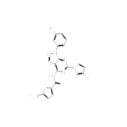 CC(=O)c1ccn(-c2nc(NC(=O)c3ccc([N+](=O)[O-])s3)c3cnn(-c4cccc(F)c4)c3n2)c1